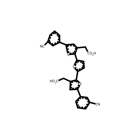 N#Cc1cccc(-c2cc(CC(=O)O)c(-c3ccc(-c4sc(-c5cccc(C#N)c5)cc4CC(=O)O)s3)s2)c1